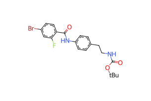 CC(C)(C)OC(=O)NCCc1ccc(NC(=O)c2ccc(Br)cc2F)cc1